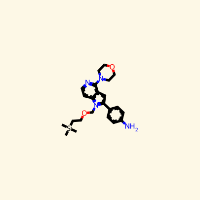 C[Si](C)(C)CCOCn1c(-c2ccc(N)cc2)cc2c(N3CCOCC3)nccc21